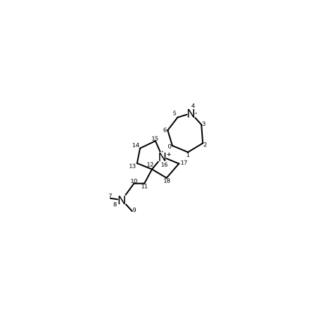 C1CCC[N]CC1.CN(C)CCC12CCC[N+]1CC2